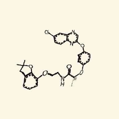 C[C@@H](Oc1ccc(Oc2cnc3cc(Cl)ccc3n2)cc1)C(=O)NCCOc1cccc2c1OC(C)(C)C2